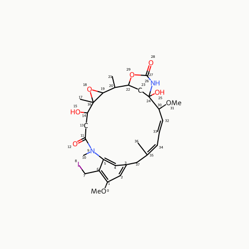 COc1cc2cc(c1CI)N(C)C(=O)CC(O)C1(C)OC1C(C)C1CC(O)(NC(=O)O1)C(OC)/C=C/C=C(\C)C2